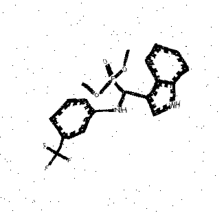 COP(=O)(OC)C(Nc1cccc(C(F)(F)F)c1)c1c[nH]c2ccccc12